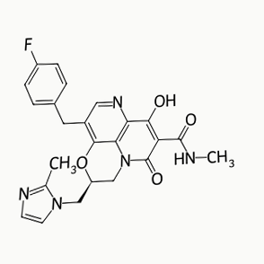 CNC(=O)c1c(O)c2ncc(Cc3ccc(F)cc3)c3c2n(c1=O)C[C@@H](Cn1ccnc1C)O3